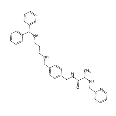 C[C@H](NCc1ccccn1)C(=O)NCc1ccc(CNCCCNC(c2ccccc2)c2ccccc2)cc1